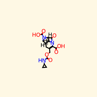 O=C(NC1CC1)OCC1=C(C(=O)O)N2C(=O)[C@@H]3[C@H]2[C@H](C1)CN3C(=O)O